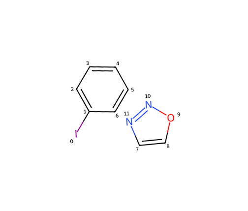 Ic1ccccc1.c1conn1